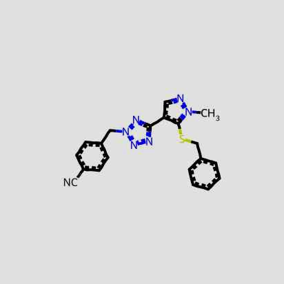 Cn1ncc(-c2nnn(Cc3ccc(C#N)cc3)n2)c1SCc1ccccc1